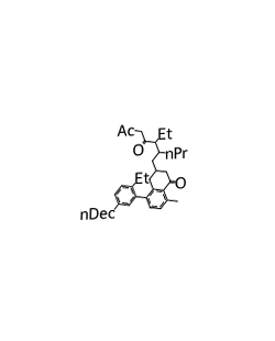 CCCCCCCCCCc1ccc(CC)c(-c2ccc(C)c3c2CC(CC(CCC)C(CC)C(=O)CC(C)=O)CC3=O)c1